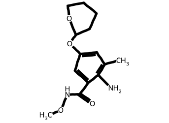 CONC(=O)c1cc(OC2CCCCO2)cc(C)c1N